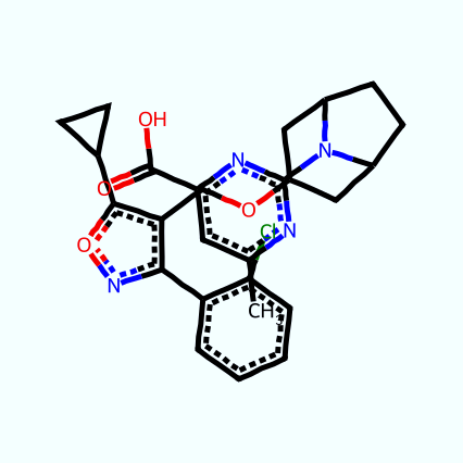 Cc1cc(C(=O)O)nc(N2C3CCC2CC(OCc2c(-c4ccccc4Cl)noc2C2CC2)C3)n1